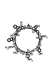 CC(C)C[C@@H]1NC(=O)[C@@H](Cc2c[nH]cn2)NC(=O)[C@@H]2CCCN2C(=O)[C@@H](CC(N)=O)NC(=O)C(C)N(C)C(=O)[C@H](Cc2ccc(O)cc2)NC(=O)CSC[C@H](C(=O)NCC(N)=O)NC(=O)[C@H](C)NC(=O)[C@@H](CC(=O)O)N(C)C(=O)[C@@H](CCCCN)N(C)C(=O)[C@H](Cc2c[nH]c3ccccc23)NC(=O)[C@H](CO)NC(=O)[C@@H](Cc2c[nH]c3ccccc23)NC(=O)C2C[C@@H](O)CN2C1=O